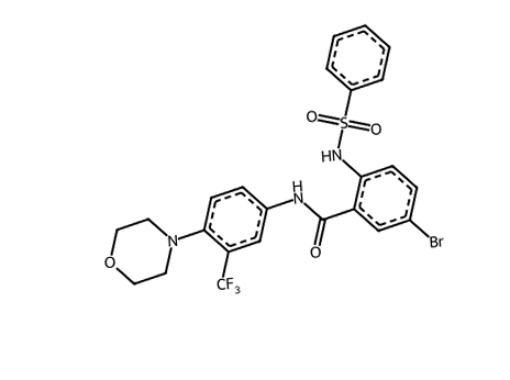 O=C(Nc1ccc(N2CCOCC2)c(C(F)(F)F)c1)c1cc(Br)ccc1NS(=O)(=O)c1ccccc1